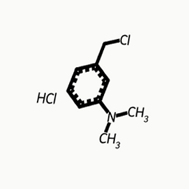 CN(C)c1cccc(CCl)c1.Cl